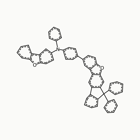 c1ccc(N(c2ccc(-c3ccc4oc5cc6c(cc5c4c3)-c3ccccc3C6(c3ccccc3)c3ccccc3)cc2)c2ccc3oc4ccccc4c3c2)cc1